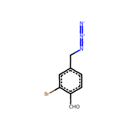 [N-]=[N+]=NCc1ccc(C=O)c(Br)c1